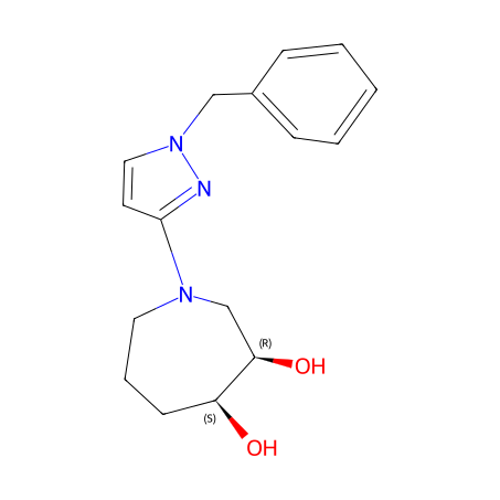 O[C@@H]1CN(c2ccn(Cc3ccccc3)n2)CCC[C@@H]1O